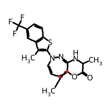 CC1=C2C=CN(c3sc4ccc(C(F)(F)F)cc4c3C)N=C3NC(C)C(=O)OC32C=CC1